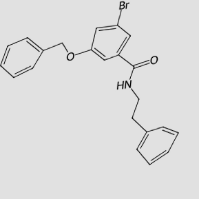 O=C(NCCc1ccccc1)c1cc(Br)cc(OCc2ccccc2)c1